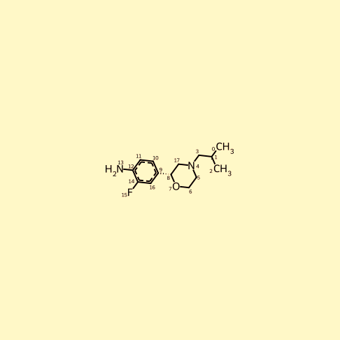 C[C](C)CN1CCO[C@H](c2ccc(N)c(F)c2)C1